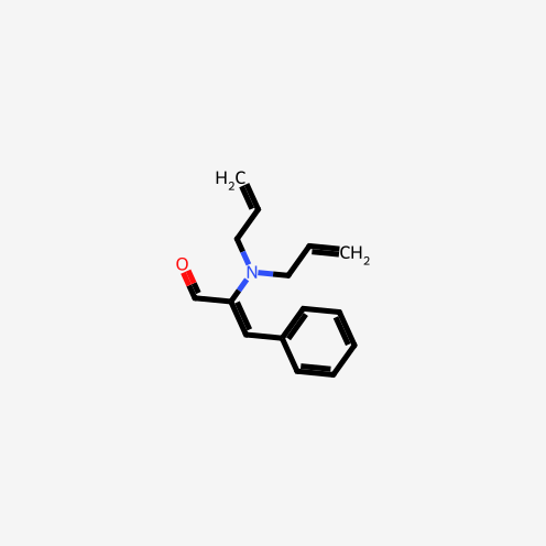 C=CCN(CC=C)C(C=O)=Cc1ccccc1